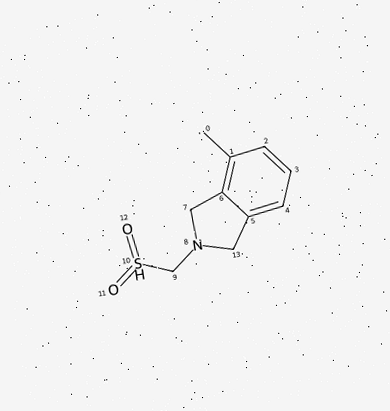 [CH2]c1cccc2c1CN(C[SH](=O)=O)C2